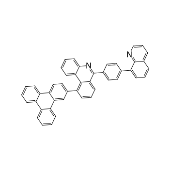 c1cnc2c(-c3ccc(-c4nc5ccccc5c5c(-c6ccc7c8ccccc8c8ccccc8c7c6)cccc45)cc3)cccc2c1